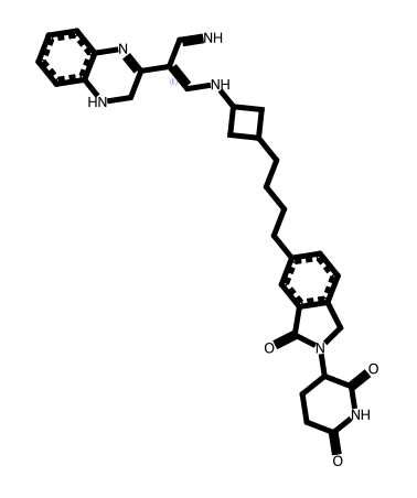 N=C/C(=C\NC1CC(CCCCc2ccc3c(c2)C(=O)N(C2CCC(=O)NC2=O)C3)C1)C1=Nc2ccccc2NC1